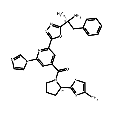 Cc1csc([C@H]2CCCN2C(=O)c2cc(-c3nnc([C@@](C)(N)Cc4ccccc4)o3)nc(-n3ccnc3)c2)n1